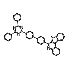 c1ccc(-c2nc(-c3ccccc3)nc(-c3ccc(-c4ccc(-c5nc6ccccc6c6c5sc5ccccc56)cc4)cc3)n2)cc1